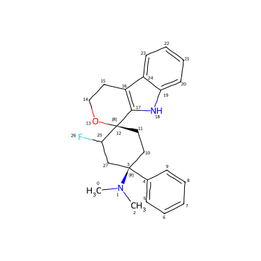 CN(C)[C@]1(c2ccccc2)CC[C@]2(OCCc3c2[nH]c2ccccc32)C(F)C1